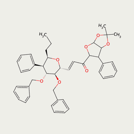 CCC[C@H]1O[C@H](/C=C/C(=O)C2OC3OC(C)(C)OC3C2c2ccccc2)[C@@H](OCc2ccccc2)[C@H](OCc2ccccc2)[C@H]1c1ccccc1